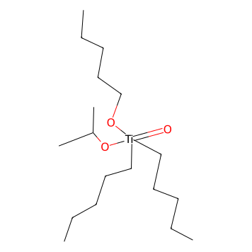 CCCCC[O][Ti](=[O])([CH2]CCCC)([CH2]CCCC)[O]C(C)C